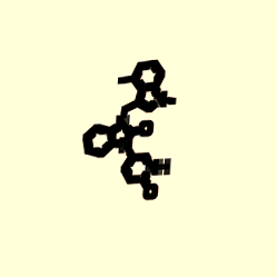 Cc1cccc2c1c(Cn1c(=O)n(-c3ccc(=O)[nH]c3)c3ccccc31)cn2C